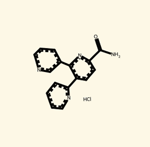 Cl.NC(=O)c1ccc(-c2ccccn2)c(-c2cccnc2)n1